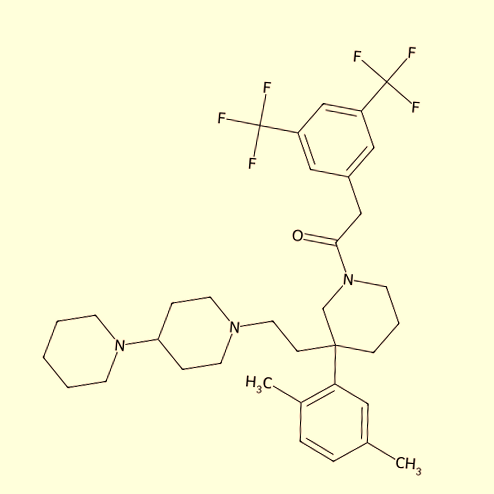 Cc1ccc(C)c(C2(CCN3CCC(N4CCCCC4)CC3)CCCN(C(=O)Cc3cc(C(F)(F)F)cc(C(F)(F)F)c3)C2)c1